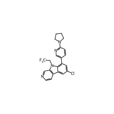 FC(F)(F)Cn1c2cnccc2c2cc(Cl)cc(-c3ccc(N4CCCC4)nc3)c21